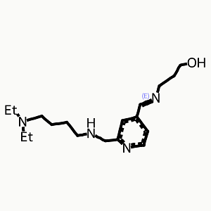 CCN(CC)CCCCNCc1cc(/C=N/CCCO)ccn1